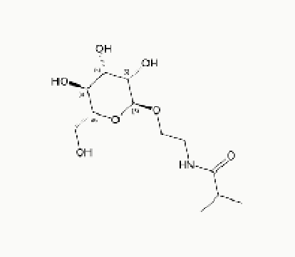 CC(C)C(=O)NCCO[C@H]1O[C@H](CO)[C@@H](O)[C@H](O)[C@@H]1O